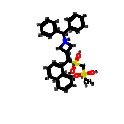 CS(=O)(=O)CS(=O)(=O)C(=C1CN(C(c2ccccc2)c2ccccc2)C1)c1cccc2ccccc12